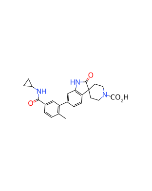 Cc1ccc(C(=O)NC2CC2)cc1-c1ccc2c(c1)NC(=O)C21CCN(C(=O)O)CC1